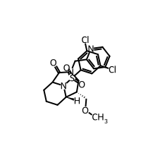 COC[C@H]1CN(Cc2ccccn2)C(=O)C2CCC[C@@H]1N2S(=O)(=O)c1cc(Cl)cc(Cl)c1